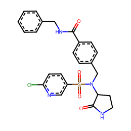 O=C(NCc1ccccc1)c1ccc(CN(C2CCNC2=O)S(=O)(=O)c2ccc(Cl)nc2)cc1